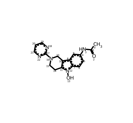 CC(=O)Nc1ccc2c(c1)c1c(n2O)CCN(c2ncccn2)C1